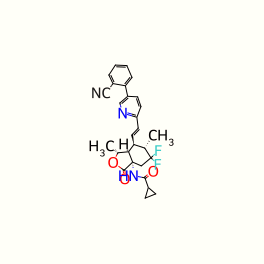 C[C@H]1OC(=O)[C@]2(NC(=O)C3CC3)CC(F)(F)[C@@H](C)[C@H](/C=C/c3ccc(-c4ccccc4C#N)cn3)[C@H]12